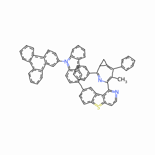 CC1=C(c2nccc3sc4ccc(-c5ccc6c(c5)c5ccccc5n6-c5ccc6c7ccccc7c7ccccc7c6c5)cc4c23)N=C(c2ccccc2)C2CC2=C1c1ccccc1